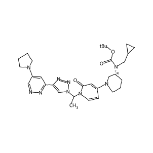 CC(n1cc(-c2cc(N3CCCC3)cnn2)nn1)n1ccc(N2CCC[C@@H](N(CC3CC3)C(=O)OC(C)(C)C)C2)cc1=O